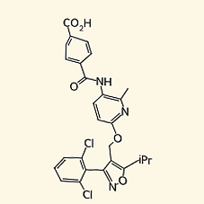 Cc1nc(OCc2c(-c3c(Cl)cccc3Cl)noc2C(C)C)ccc1NC(=O)c1ccc(C(=O)O)cc1